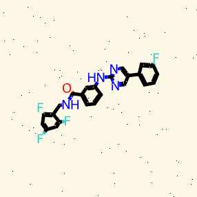 O=C(NCc1c(F)cc(F)cc1F)c1cccc(Nc2ncc(-c3cccc(F)c3)cn2)c1